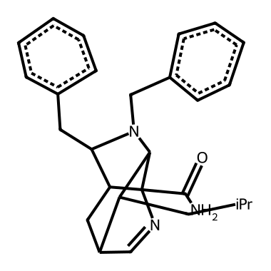 CC(C)CC1C2C=NC3(C(N)=O)C(C2)C(Cc2ccccc2)N(Cc2ccccc2)C13